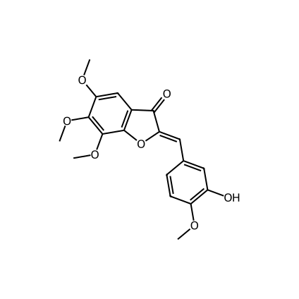 COc1ccc(/C=C2\Oc3c(cc(OC)c(OC)c3OC)C2=O)cc1O